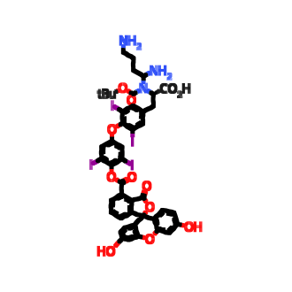 CC(C)(C)OC(=O)N(C(N)CCCN)[C@H](Cc1cc(I)c(Oc2cc(I)c(OC(=O)c3cccc4c3C(=O)OC43c4ccc(O)cc4Oc4cc(O)ccc43)c(I)c2)c(I)c1)C(=O)O